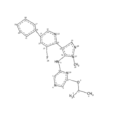 CC(C)Oc1cncc(Nc2c(-c3ncc(-c4cc[c]cc4)cc3F)cnn2C)n1